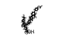 CC(C)Oc1ccc(-c2ccc(-c3cnc(-c4ccc(C[C@H](NC(=O)c5ccc(C(C)(C)C)s5)C(=O)N5CC(C(=O)O)C5)cc4)nc3)c(F)c2)cc1